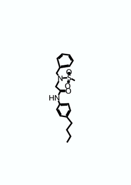 CCCCc1ccc(NC(=O)CN(Cc2ccccc2)S(C)(=O)=O)cc1